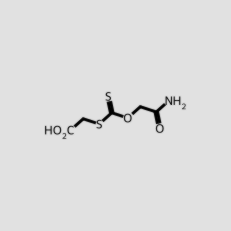 NC(=O)COC(=S)SCC(=O)O